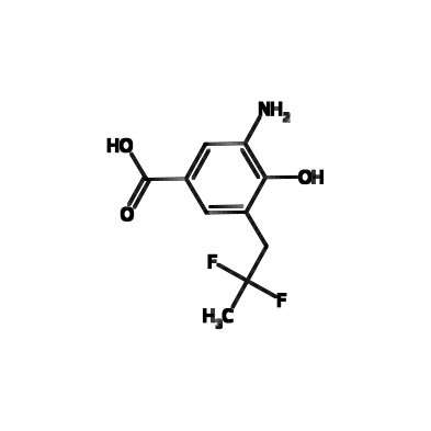 CC(F)(F)Cc1cc(C(=O)O)cc(N)c1O